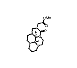 COC(=O)C[C@@H]1CN2CCN3CCCN4CCN(C1=O)[C@@H]2[C@@H]34